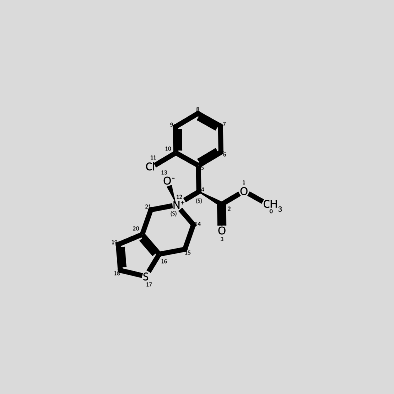 COC(=O)[C@H](c1ccccc1Cl)[N@+]1([O-])CCc2sccc2C1